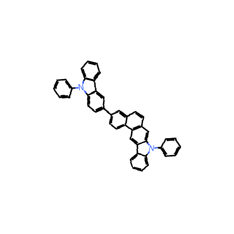 c1ccc(-n2c3ccccc3c3cc(-c4ccc5c(ccc6cc7c(cc65)c5ccccc5n7-c5ccccc5)c4)ccc32)cc1